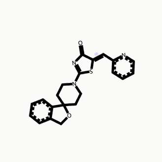 O=C1N=C(N2CCC3(CC2)OCc2ccccc23)S/C1=C\c1ccccn1